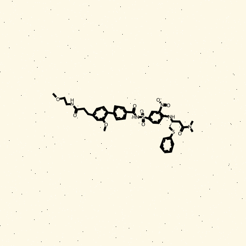 COCCNC(=O)CCc1ccc(-c2ccc(C(=O)NS(=O)(=O)c3ccc(N[C@@H](CSc4ccccc4)CC(=O)N(C)C)c([N+](=O)[O-])c3)cc2)c(OC)c1